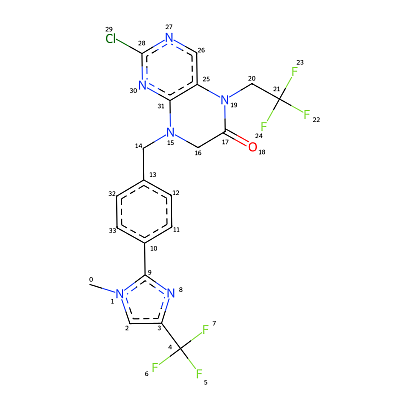 Cn1cc(C(F)(F)F)nc1-c1ccc(CN2CC(=O)N(CC(F)(F)F)c3cnc(Cl)nc32)cc1